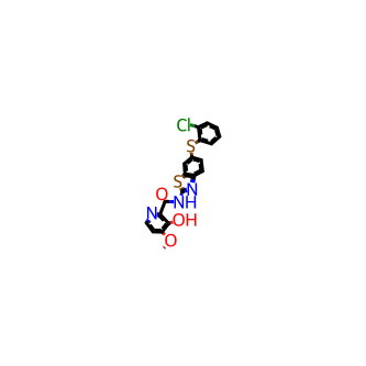 COc1ccnc(C(=O)Nc2nc3ccc(Sc4ccccc4Cl)cc3s2)c1O